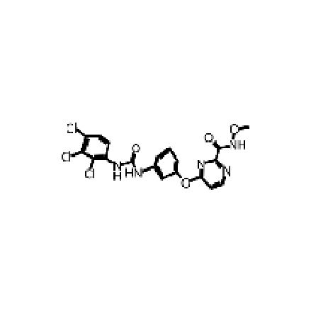 CONC(=O)c1nccc(Oc2cccc(NC(=O)Nc3ccc(Cl)c(Cl)c3Cl)c2)n1